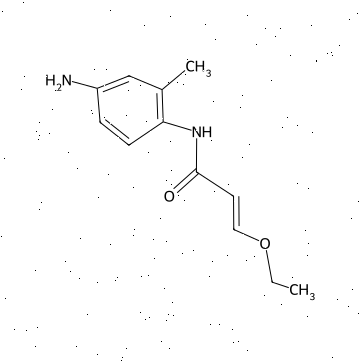 CCOC=CC(=O)Nc1ccc(N)cc1C